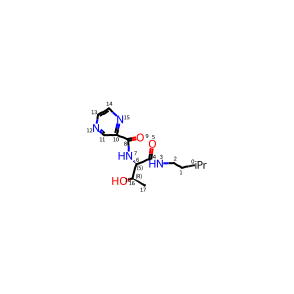 CC(C)CCNC(=O)[C@@H](NC(=O)c1cnccn1)[C@@H](C)O